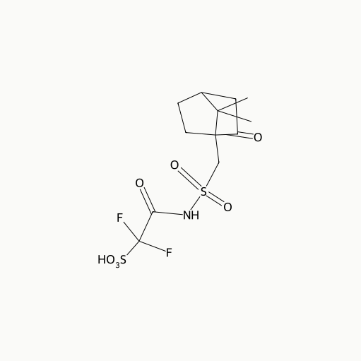 CC1(C)C2CCC1(CS(=O)(=O)NC(=O)C(F)(F)S(=O)(=O)O)C(=O)C2